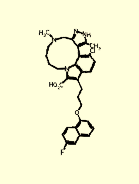 Cc1[nH]nc2c1-c1c(Cl)ccc3c(CCCOc4cccc5cc(F)ccc45)c(C(=O)O)n(c13)CCCCN(C)C2